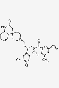 Cc1cc(C)cc(C(=O)N(C)C[C@@H](CCN2CCC3(CC2)CC(=O)NC2C=CC=CC23)c2ccc(Cl)c(Cl)c2)c1